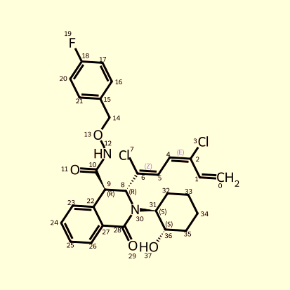 C=C/C(Cl)=C\C=C(/Cl)[C@H]1[C@H](C(=O)NOCc2ccc(F)cc2)c2ccccc2C(=O)N1[C@H]1CCCC[C@@H]1O